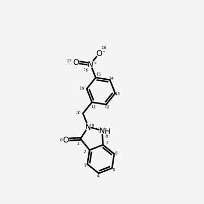 O=c1c2ccccc2[nH]n1Cc1cccc([N+](=O)[O-])c1